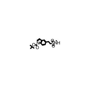 CNS(=O)(=O)CCc1ccc2c(ccn2C(=O)OC(C)(C)C)c1